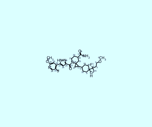 COCCC(F)(F)C1(O)CCC(C2CC23CC(C(N)=O)CCN3C(=O)c2cc(-c3cc(OC)ncc3F)[nH]n2)CC1